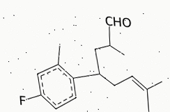 CC(C)=CCC(CC(C)C=O)c1ccc(F)cc1C